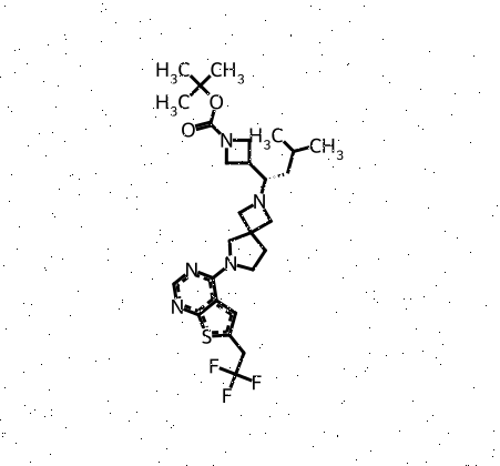 CC(C)C[C@@H](C1CN(C(=O)OC(C)(C)C)C1)N1CC2(CCN(c3ncnc4sc(CC(F)(F)F)cc34)C2)C1